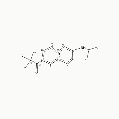 CC(C)Nc1ccc2cc(C(=O)C(C)(C)C)cnc2c1